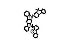 CC1(C)c2ccccc2-c2ccc(-n3c4ccccc4c4cc5c6ccccc6n(-c6cccc7c6oc6ccccc67)c5cc43)cc21